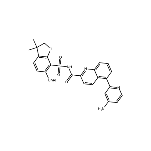 COc1ccc2c(c1S(=O)(=O)NC(=O)c1ccc3c(-c4cc(N)ccn4)cccc3n1)OCC2(C)C